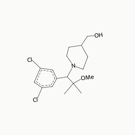 COC(C)(C)C(c1cc(Cl)cc(Cl)c1)N1CCC(CO)CC1